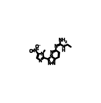 CCNC(N)=Nc1ccc2nnc(-c3ncc([N+](=O)[O-])n3C)n2n1